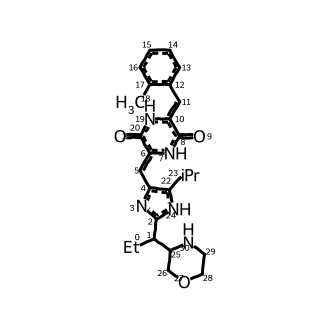 CCC(c1nc(/C=c2\[nH]c(=O)/c(=C/c3ccccc3C)[nH]c2=O)c(C(C)C)[nH]1)C1COCCN1